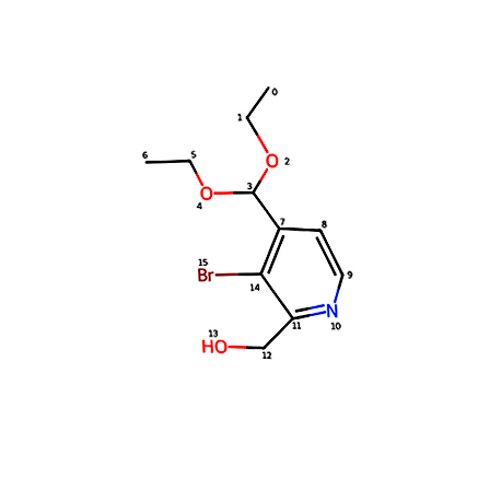 CCOC(OCC)c1ccnc(CO)c1Br